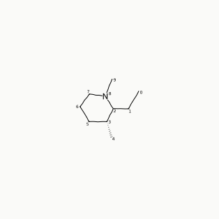 CCC1[C@H](C)CCCN1C